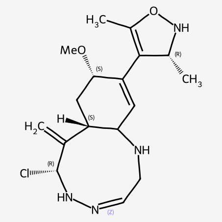 C=C1[C@@H](Cl)N/N=C\CNC2C=C(C3=C(C)ON[C@@H]3C)[C@@H](OC)C[C@@H]12